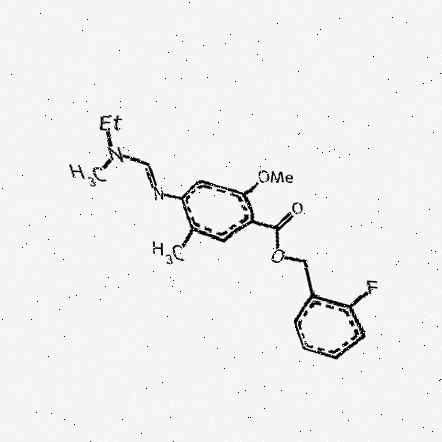 CCN(C)/C=N/c1cc(OC)c(C(=O)OCc2ccccc2F)cc1C